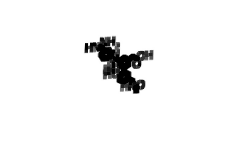 CC(=O)NCc1ccc(O)c(-c2cc(CC(=O)O)cc(-c3nc4cc(C(=N)N)ccc4[nH]3)c2O)c1